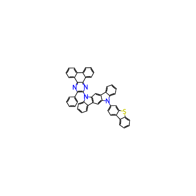 c1ccc(-c2nc3c4ccccc4c4ccccc4c3nc2-n2c3ccccc3c3cc4c(cc32)c2ccccc2n4-c2ccc3c(c2)sc2ccccc23)cc1